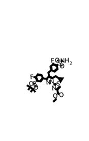 CCOC(=O)c1csc(-n2nc(-c3ccc(F)c(B4OC(C)(C)C(C)(C)O4)c3)c(Cc3ccc(S(N)(=O)=O)c(F)c3)c2CC2CC2)n1